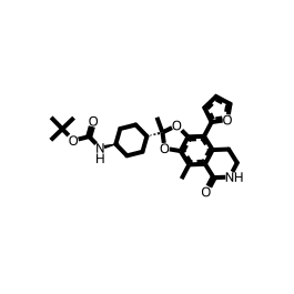 Cc1c2c(c(-c3ccco3)c3c1C(=O)NCC3)OC(C)([C@H]1CC[C@H](NC(=O)OC(C)(C)C)CC1)O2